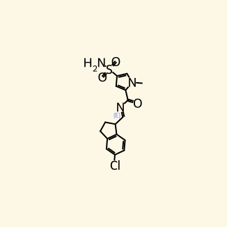 Cn1cc(S(N)(=O)=O)cc1C(=O)/N=C/C1CCc2cc(Cl)ccc21